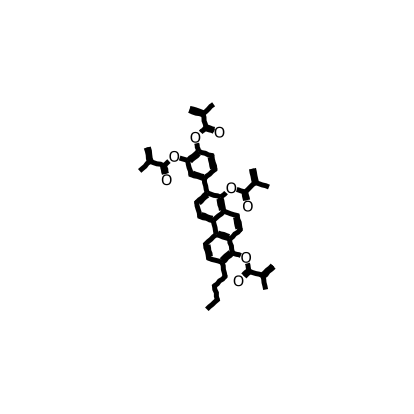 C=C(C)C(=O)Oc1ccc(-c2ccc3c(ccc4c(OC(=O)C(=C)C)c(CCCC)ccc43)c2OC(=O)C(=C)C)cc1OC(=O)C(=C)C